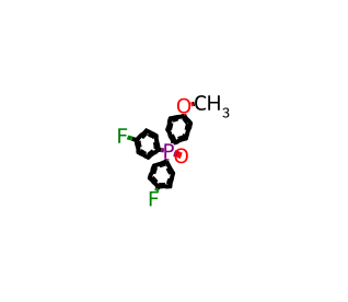 COc1ccc(P(=O)(c2ccc(F)cc2)c2ccc(F)cc2)cc1